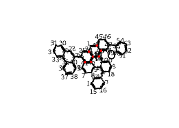 c1ccc(-c2ccccc2-c2c(-c3ccccc3)cccc2N(c2ccc(-c3cc4ccccc4c4ccccc34)cc2)c2cccc3c2oc2ccccc23)cc1